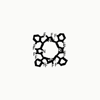 FC1=C(F)c2nc1c(-c1c(F)cccc1F)c1[nH]c(c(F)c1F)c(-c1c(F)cccc1F)c1nc(c(-c3c(F)cccc3F)c3[nH]c(c(F)c3F)c2-c2c(F)cccc2F)C(F)=C1F